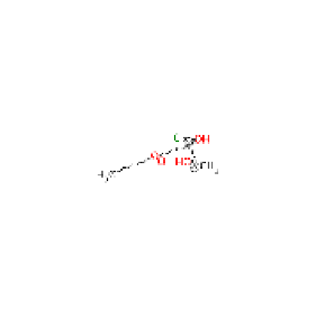 CCCCCCCCCCCOC(=O)CCCC=CC[C@@H]1[C@@H](C=CC[C@H](O)C2(CC)CCC2)[C@H](O)C[C@H]1Cl